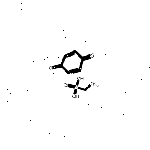 CCP(=O)(O)O.O=C1C=CC(=O)C=C1